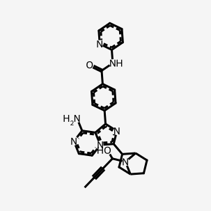 CC#CC(O)N1C2CCC1C(c1nc(-c3ccc(C(=O)Nc4ccccn4)cc3)c3c(N)nccn13)C2